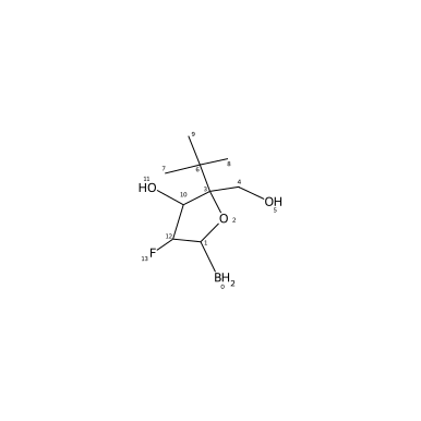 BC1OC(CO)(C(C)(C)C)C(O)C1F